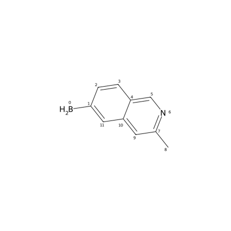 Bc1ccc2cnc(C)cc2c1